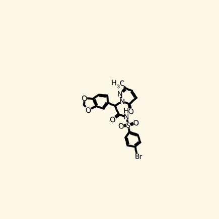 Cc1ccc(=O)n(C(C(=O)NS(=O)(=O)c2ccc(Br)cc2)c2ccc3c(c2)OCO3)n1